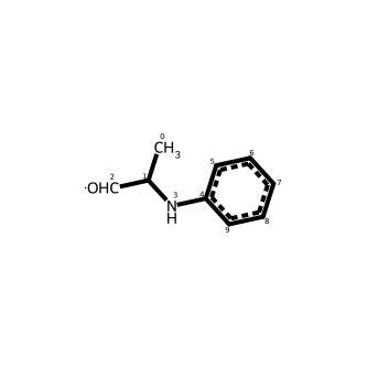 CC([C]=O)Nc1ccccc1